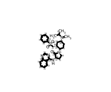 CC(C)N(C)[C@@H]1CC[C@H](N2CC[C@H](Nc3ncnc4ccccc34)C2=O)[C@H](CS(=O)(=O)c2ccccc2)C1